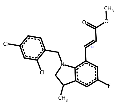 COC(=O)/C=C/c1cc(F)cc2c1N(Cc1ccc(Cl)cc1Cl)CC2C